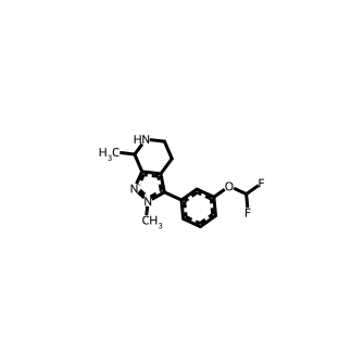 CC1NCCc2c1nn(C)c2-c1cccc(OC(F)F)c1